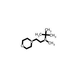 CN(CCN1CCOCC1)C(C)(C)C